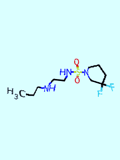 CCCNCCNS(=O)(=O)N1CCCC(F)(F)C1